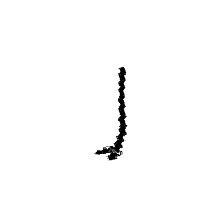 CCCCCCCCCCCCCCCCCCCCN(OCC)OCC